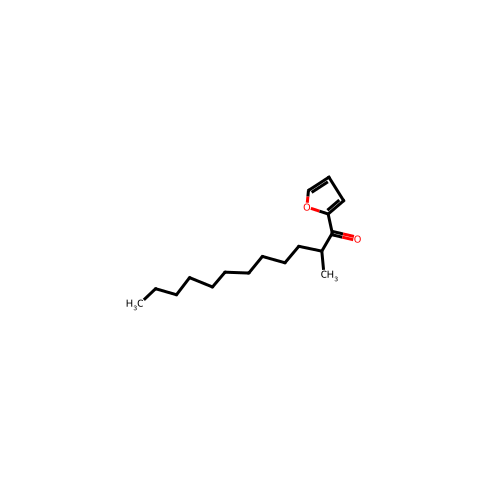 CCCCCCCCCCC(C)C(=O)c1ccco1